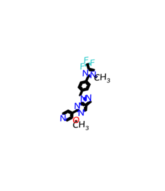 COc1cnccc1-c1ncc2cnn(Cc3ccc(-c4nc(C(F)(F)F)cn4C)cc3)c2n1